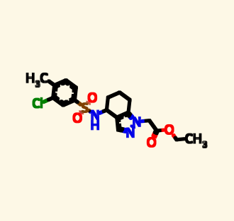 CCOC(=O)Cn1ncc2c1CCCC2NS(=O)(=O)c1ccc(C)c(Cl)c1